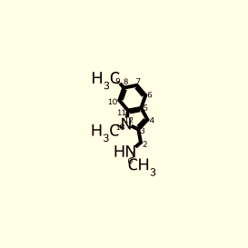 CNCc1cc2ccc(C)cc2n1C